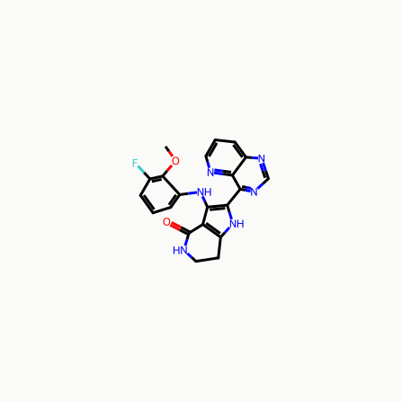 COc1c(F)cccc1Nc1c(-c2ncnc3cccnc23)[nH]c2c1C(=O)NCC2